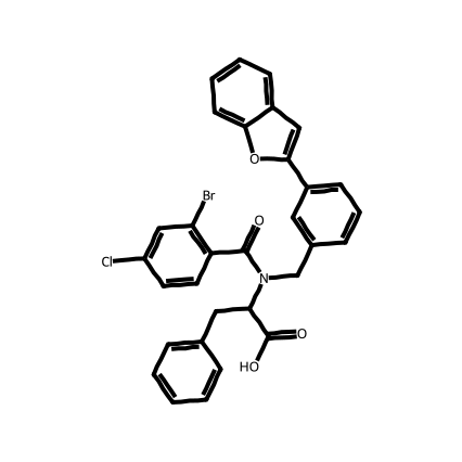 O=C(O)C(Cc1ccccc1)N(Cc1cccc(-c2cc3ccccc3o2)c1)C(=O)c1ccc(Cl)cc1Br